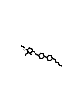 CCCCCC1CCC(C2CCC(COc3ccc(OCC)c(F)c3F)CC2)CC1